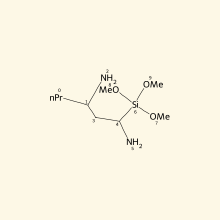 CCCC(N)CC(N)[Si](OC)(OC)OC